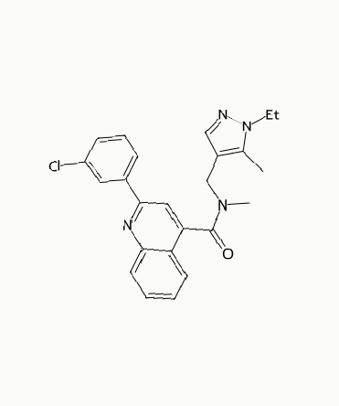 CCn1ncc(CN(C)C(=O)c2cc(-c3cccc(Cl)c3)nc3ccccc23)c1C